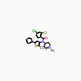 CC(=O)N1CCC(N(C(=O)c2ccc(Cl)cc2Cl)c2cc(-c3ccccc3)sc2C(=O)O)CC1